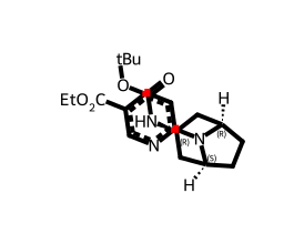 CCOC(=O)c1ccc(N2[C@@H]3CC[C@H]2C[C@@H](NC(=O)OC(C)(C)C)C3)nc1